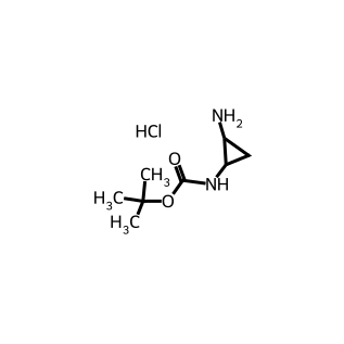 CC(C)(C)OC(=O)NC1CC1N.Cl